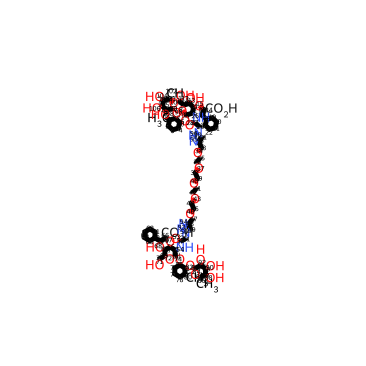 CC1CCC[C@@H](O[C@@H]2OC(CO)[C@H](O)C(O[C@@H](CC3CCCCC3)C(=O)O)C2NC(=O)Cn2cc(COCCOCCOCCOCCOCc3cn(CC(=O)NC4C(O[C@@H](CC5CCCCC5)C(=O)O)[C@@H](O)C(CO)O[C@H]4O[C@@H]4CCCC(C)C4O[C@@H]4OC(C)[C@@H](O)C(O)C4O)nn3)nn2)C1O[C@@H]1OC(C)[C@@H](O)C(O)C1O